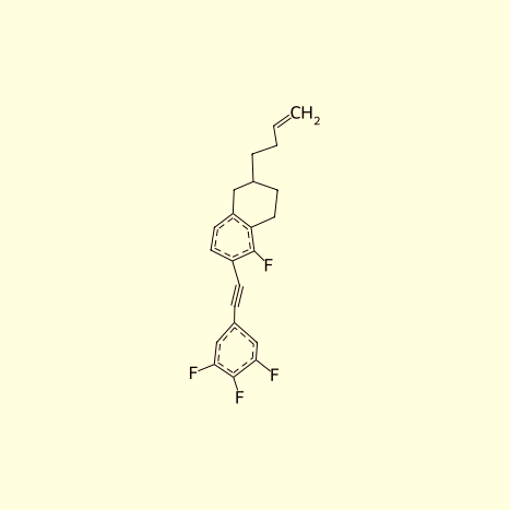 C=CCCC1CCc2c(ccc(C#Cc3cc(F)c(F)c(F)c3)c2F)C1